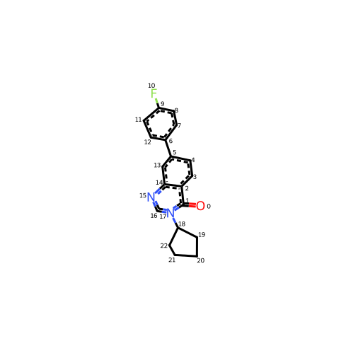 O=c1c2ccc(-c3ccc(F)cc3)cc2ncn1C1CCCC1